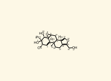 CC(C)[C@]1(O)[C@H](Cl)C=C2[C@]3(O[C@H]3C[C@H]3c4coc(CO)c4CC[C@]23C)[C@@H]1O